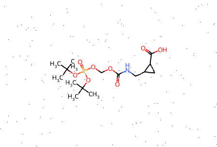 CC(C)(C)OP(=O)(OCOC(=O)NCC1CC1C(=O)O)OC(C)(C)C